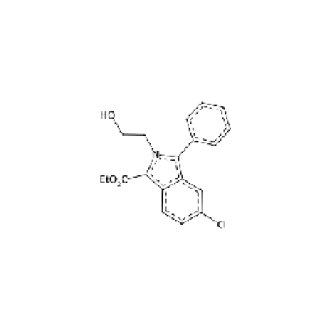 CCOC(=O)c1c2ccc(Cl)cc2c(-c2ccccc2)n1CCO